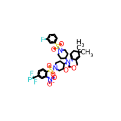 CC1(C)C=C2COC(=O)[N+](C3CCN(S(=O)(=O)c4cccc(F)c4)CC3)(C3CCN(S(=O)(=O)c4ccc(C(F)(F)F)cc4[N+](=O)[O-])CC3)C2=CC1